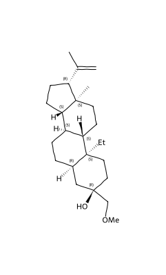 C=C(C)[C@H]1CC[C@H]2[C@@H]3CC[C@@H]4C[C@@](O)(COC)CC[C@]4(CC)[C@H]3CC[C@]12C